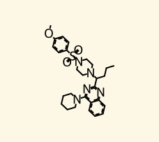 CCCC(c1nc(N2CCCCC2)c2ccccc2n1)N1CCN(S(=O)(=O)c2ccc(OC)cc2)CC1